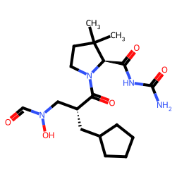 CC1(C)CCN(C(=O)[C@H](CC2CCCC2)CN(O)C=O)[C@@H]1C(=O)NC(N)=O